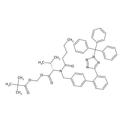 CCCCC(=O)N(Cc1ccc(-c2ccccc2-c2nnn(C(c3ccccc3)(c3ccccc3)c3ccccc3)n2)cc1)[C@H](C(=O)OCOC(=O)C(C)(C)C)C(C)C